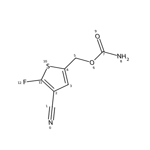 N#Cc1cc(COC(N)=O)sc1F